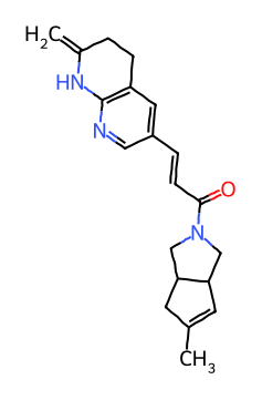 C=C1CCc2cc(/C=C/C(=O)N3CC4C=C(C)CC4C3)cnc2N1